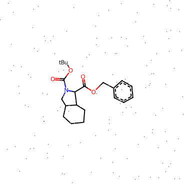 CC(C)(C)OC(=O)N1CC2CCCCC2C1C(=O)OCc1ccccc1